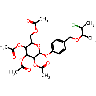 CC(=O)OCC1OC(Oc2ccc(COC(C)[C@H](C)Cl)cc2)C(OC(C)=O)C(OC(C)=O)C1OC(C)=O